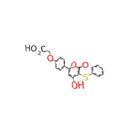 O=C(O)COc1ccc(-c2cc(O)c(Sc3ccccc3)c(=O)o2)cc1